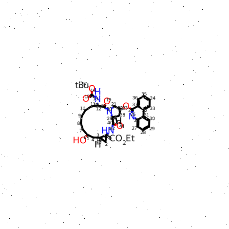 CCOC(=O)[C@@]12C[C@H]1CC(O)CCCCC[C@H](NC(=O)OC(C)(C)C)C(=O)N1C[C@H](Oc3nc4ccccc4c4ccccc34)C[C@H]1C(=O)N2